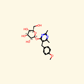 COc1ccc(Cc2c(C)nc(C)nc2O[C@@H]2O[C@H](CO)[C@@H](O)[C@H](O)[C@H]2O)cc1